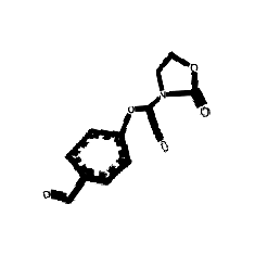 O=Cc1ccc(OC(=O)N2CCOC2=O)cc1